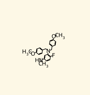 CNc1ccc(F)c(N(Cc2ccc(OC)cc2)Cc2ccc(OC)cc2)c1